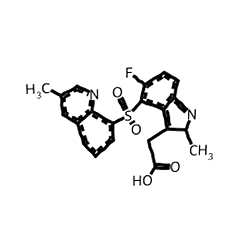 Cc1cnc2c(S(=O)(=O)c3c(F)ccc4c3=C(CC(=O)O)C(C)N=4)cccc2c1